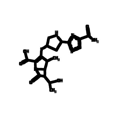 CC(O)C1C(=O)N2C(C(=O)O)=C(SC3CNC(c4nc(C(N)=O)cs4)C3)C(C)C12